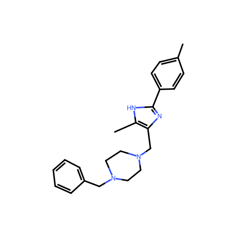 Cc1ccc(-c2nc(CN3CCN(Cc4ccccc4)CC3)c(C)[nH]2)cc1